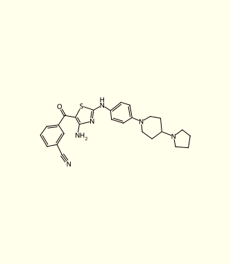 N#Cc1cccc(C(=O)c2sc(Nc3ccc(N4CCC(N5CCCC5)CC4)cc3)nc2N)c1